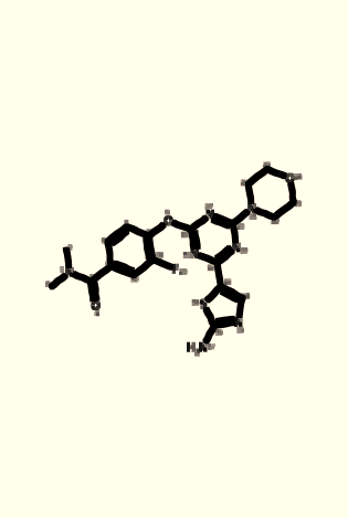 CN(C)C(=O)c1ccc(Oc2nc(-c3cnc(N)s3)nc(N3CCOCC3)n2)c(F)c1